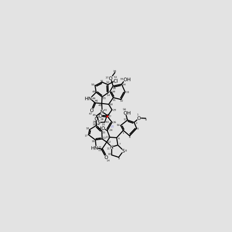 COc1ccc(C2C3SCCN3C3(C(=O)Nc4ccc(Cl)cc43)C2/C(O)=C/C(=O)CC(c2ccc(O)c(OC)c2)C2(N3CCSC3)C(=O)Nc3ccc(Cl)cc32)cc1O